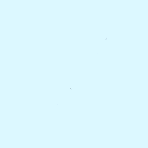 CC(C)N1CCN(CCCOc2ccc(-c3nc4c(s3)CC(C(=O)N3CCOCC3)C4)cc2)CC1